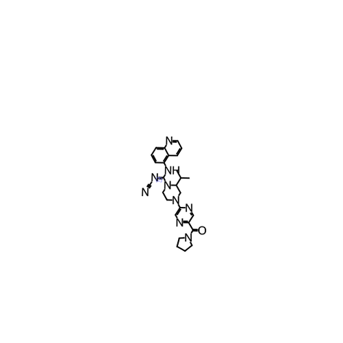 CC(C)C1CN(c2cnc(C(=O)N3CCCC3)cn2)CCN1/C(=N\C#N)Nc1cccc2ncccc12